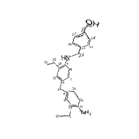 CCc1cc(Cc2ccc(NCc3ccc(O)cc3)c(CC)c2)ccc1N